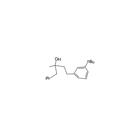 CCCCc1cccc(CCC(C)(O)CC(C)C)c1